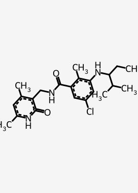 CCC(Nc1cc(Cl)cc(C(=O)NCc2c(C)cc(C)[nH]c2=O)c1C)C(C)C